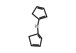 C1=CC[C]([Zn][C]2=CC=CC2)=C1